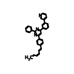 C=C/C=C\C=C\c1ccc(-c2cc(-c3cccc(-c4cccnc4)c3)nc(-c3ccccc3)n2)cc1